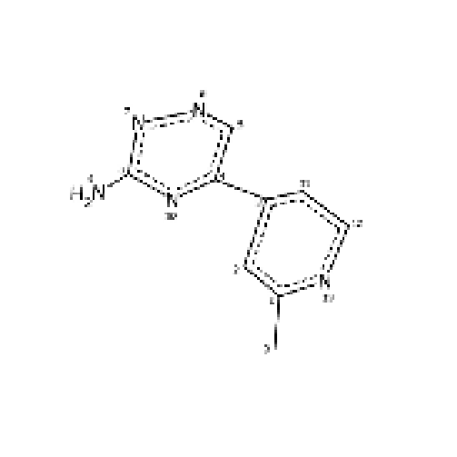 Cc1cc(-c2cnnc(N)n2)ccn1